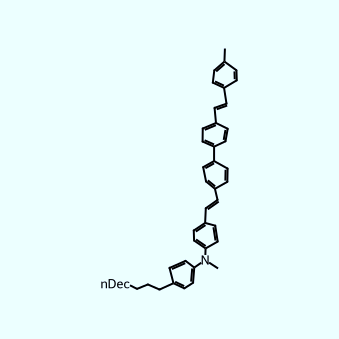 CCCCCCCCCCCCCc1ccc(N(C)c2ccc(/C=C/c3ccc(-c4ccc(/C=C/c5ccc(C)cc5)cc4)cc3)cc2)cc1